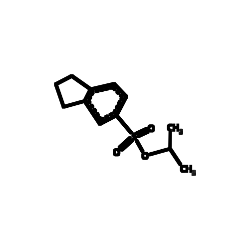 CC(C)OS(=O)(=O)c1ccc2c(c1)CCC2